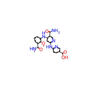 CNC(=O)c1cccc(Nc2cc(Nc3ccc(C(=O)O)cn3)ncc2C(N)=O)c1OC